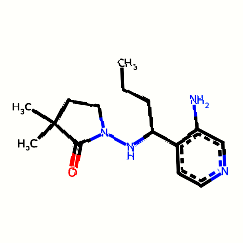 CCCC(NN1CCC(C)(C)C1=O)c1ccncc1N